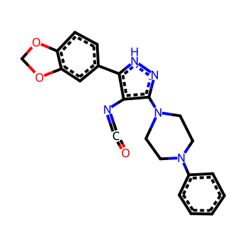 O=C=Nc1c(N2CCN(c3ccccc3)CC2)n[nH]c1-c1ccc2c(c1)OCO2